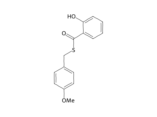 COc1ccc(CSC(=O)c2ccccc2O)cc1